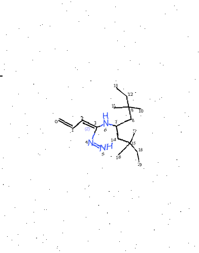 C=C/C=C(\N=N)NC(CC(C)(C)CC)CC(C)(C)CC